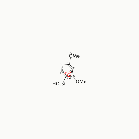 COc1cc2oc1c(OC)c2S(=O)(=O)O